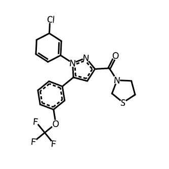 O=C(c1cc(-c2cccc(OC(F)(F)F)c2)n(C2=CC(Cl)CC=C2)n1)N1CCSC1